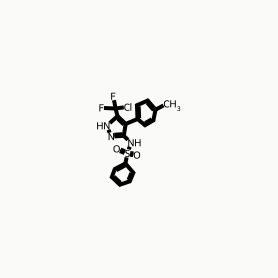 Cc1ccc(-c2c(NS(=O)(=O)c3ccccc3)n[nH]c2C(F)(F)Cl)cc1